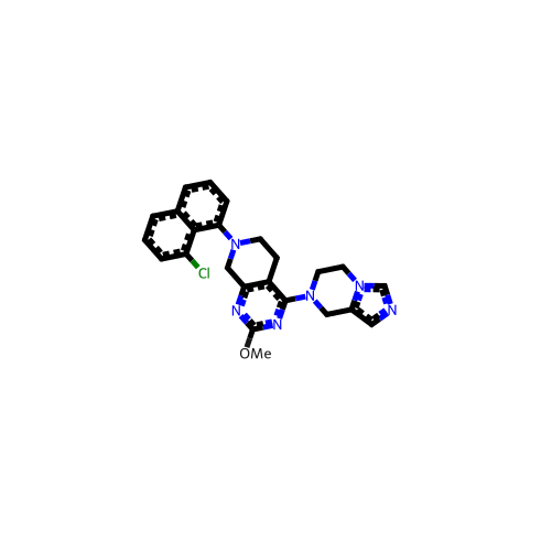 COc1nc2c(c(N3CCn4cncc4C3)n1)CCN(c1cccc3cccc(Cl)c13)C2